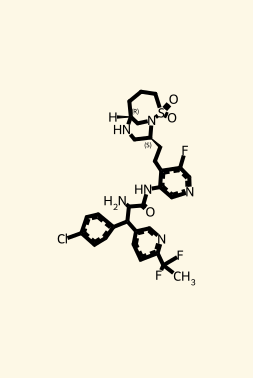 CC(F)(F)c1ccc(C(c2ccc(Cl)cc2)C(N)C(=O)Nc2cncc(F)c2CC[C@H]2CN[C@@H]3CCCS(=O)(=O)N2C3)cn1